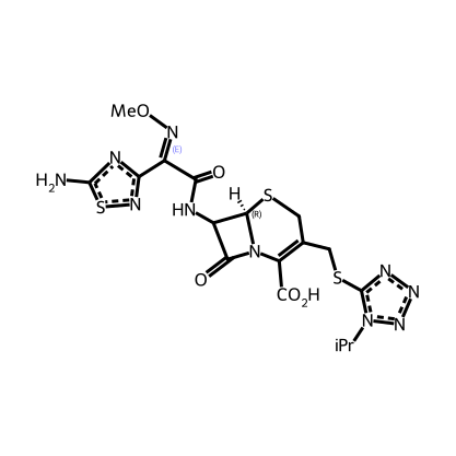 CO/N=C(/C(=O)NC1C(=O)N2C(C(=O)O)=C(CSc3nnnn3C(C)C)CS[C@H]12)c1nsc(N)n1